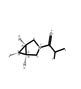 CC(C)C(=O)N1C[C@@H]2[C@@H](C)[C@@H]2C1